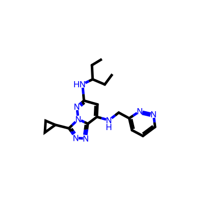 CCC(CC)Nc1cc(NCc2cccnn2)c2nnc(C3CC3)n2n1